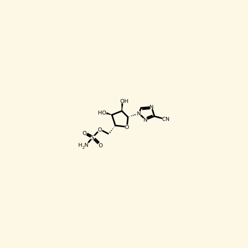 N#Cc1ncn([C@@H]2O[C@H](COS(N)(=O)=O)[C@@H](O)[C@H]2O)n1